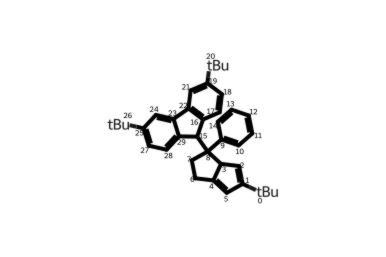 CC(C)(C)C1=CC2C(=C1)CCC2(c1ccccc1)C1c2ccc(C(C)(C)C)cc2-c2cc(C(C)(C)C)ccc21